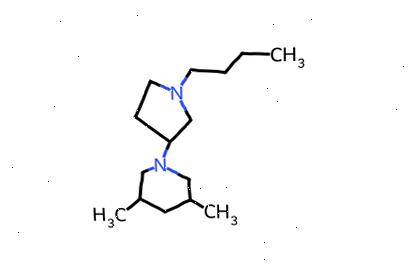 CCCCN1CCC(N2CC(C)CC(C)C2)C1